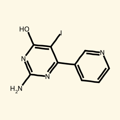 Nc1nc(O)c(I)c(-c2cccnc2)n1